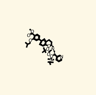 COC(=O)c1ccc(-c2ccc3c(c2)CC[C@@H](CN(C[C@H](O[Si](C)(C)C(C)(C)C)c2cccnc2)C(=O)OC(C)(C)C)O3)cc1OCC(C)C